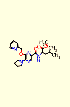 COC(=O)C(CC(C)C)NC(=O)c1cnc(N2CCCC2)c(OCc2ccccn2)n1